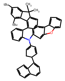 CC(C)(C)c1cc(C(C)(C)C)c2c(c1)C(C)(C)c1cccc(-c3ccccc3N(C3=CCC(c4cccc5ccccc45)C=C3)c3ccc4c(c3)oc3ccccc34)c1-2